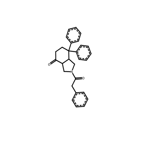 O=C1CCC(c2ccccc2)(c2ccccc2)C2CN(C(=O)Cc3ccccc3)CC12